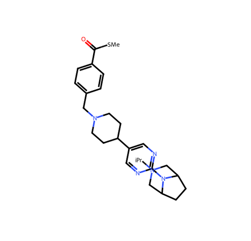 CSC(=O)c1ccc(CN2CCC(c3cnc(N4C5CCC4CN(C(C)C)C5)nc3)CC2)cc1